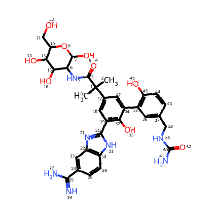 CC(C)(C(=O)NC1C(O)OC(CO)C(O)C1O)c1cc(-c2nc3cc(C(=N)N)ccc3[nH]2)c(O)c(-c2cc(CNC(N)=O)ccc2O)c1